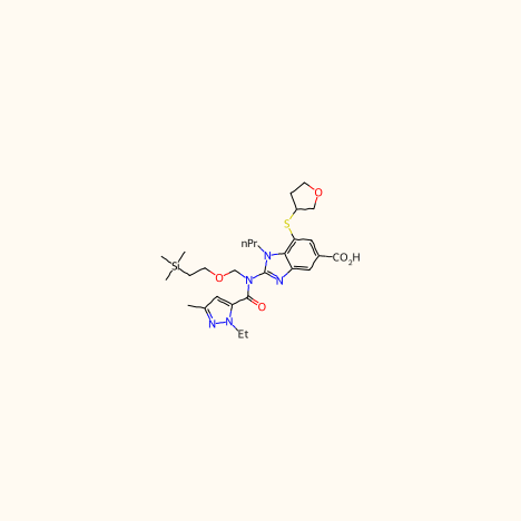 CCCn1c(N(COCC[Si](C)(C)C)C(=O)c2cc(C)nn2CC)nc2cc(C(=O)O)cc(SC3CCOC3)c21